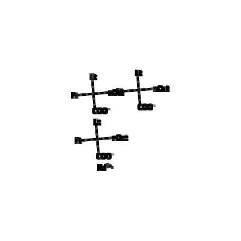 CCCCCCCCC(CC)(CC)C(=O)[O-].CCCCCCCCC(CC)(CC)C(=O)[O-].CCCCCCCCC(CC)(CC)C(=O)[O-].[Nd+3]